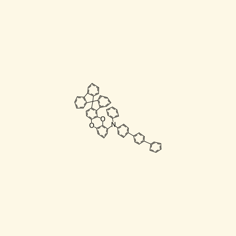 c1ccc(-c2ccc(-c3ccc(N(c4ccccc4)c4cccc5c4Oc4c(ccc6c4-c4ccccc4C64c6ccccc6-c6ccccc64)O5)cc3)cc2)cc1